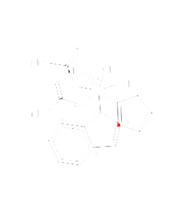 CCCC(=O)[O][Ti]([CH3])([CH3])(=[SiH2])([O]C(=O)CCC)([C]1=CC=CC1)[CH]1C=Cc2ccccc21